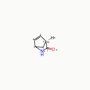 O=C1NC2C=C[C@@H]1C2